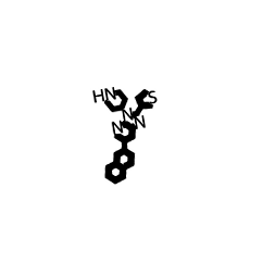 c1ccc2cc(-c3cnc4c(c3)nc(-c3ccsc3)n4C3CCNCC3)ccc2c1